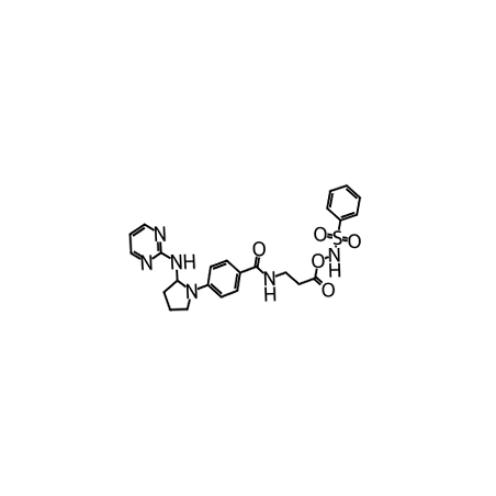 O=C(CCNC(=O)c1ccc(N2CCCC2Nc2ncccn2)cc1)ONS(=O)(=O)c1ccccc1